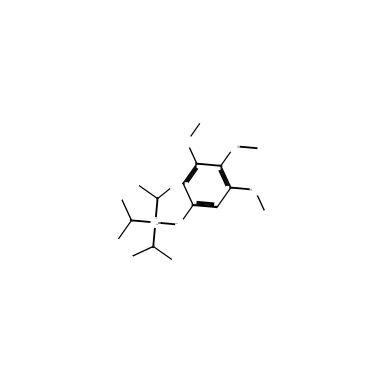 COc1cc(S[Si](C(C)C)(C(C)C)C(C)C)cc(OC)c1OC